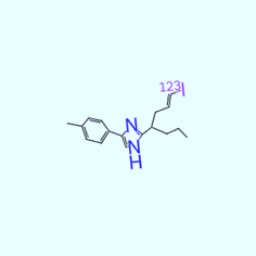 CCCC(C/C=C/[123I])c1nc(-c2ccc(C)cc2)c[nH]1